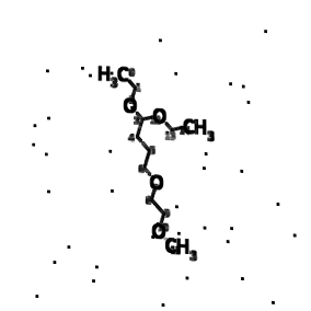 CCOC(CCCOCCOC)OCC